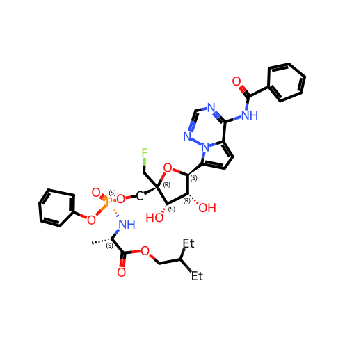 CCC(CC)COC(=O)[C@H](C)N[P@](=O)(OC[C@@]1(CF)O[C@@H](c2ccc3c(NC(=O)c4ccccc4)ncnn23)[C@H](O)[C@@H]1O)Oc1ccccc1